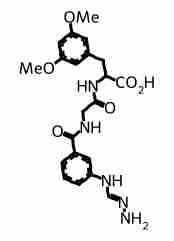 COc1cc(CC(NC(=O)CNC(=O)c2cccc(NC=NN)c2)C(=O)O)cc(OC)c1